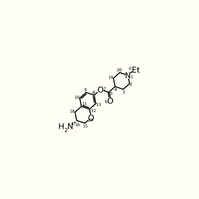 CCN1CCC(C(=O)Oc2ccc3c(c2)OC[C@H](N)C3)CC1